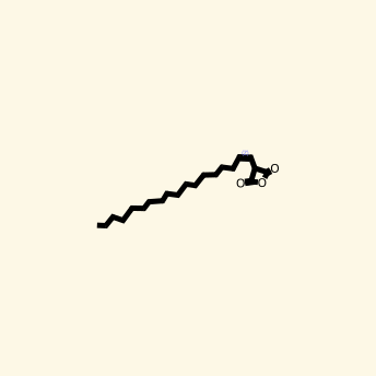 CCCCCCCCCCCCCCCC/C=C\C1C(=O)OC1=O